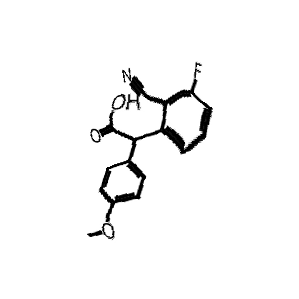 COc1ccc(C(C(=O)O)c2cccc(F)c2C#N)cc1